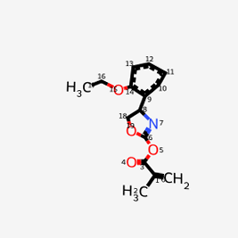 C=C(C)C(=O)OC1=NC(c2ccccc2OCC)CO1